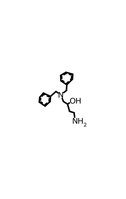 NCCC(O)CN(Cc1ccccc1)Cc1ccccc1